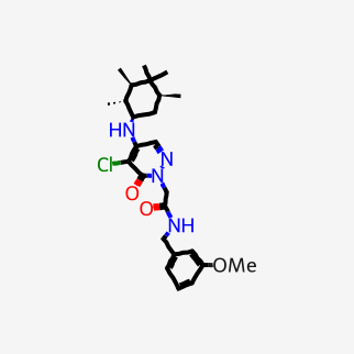 COc1cccc(CNC(=O)Cn2ncc(N[C@@H]3C[C@H](C)C(C)(C)[C@H](C)[C@H]3C)c(Cl)c2=O)c1